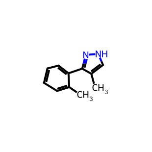 Cc1ccccc1-c1n[nH]cc1C